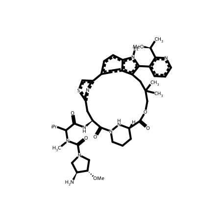 CCn1c(-c2cccnc2[C@H](C)OC)c2c3cc(ccc31)-c1csc(n1)C[C@H](NC(=O)C(C(C)C)N(C)C(=O)N1C[C@H](OC)[C@@H](N)C1)C(=O)N1CCC[C@H](N1)C(=O)OCC(C)(C)C2